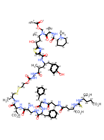 CCCC(=O)OCN(C(=O)[C@@H](NC(=O)[C@H]1CCCCN1C)C(C)CC)[C@H](C[C@@H](O)c1nc(C(=O)N[C@@H](Cc2ccc(O)cc2)C[C@H](C)C(=O)NNC(=O)OCCSSC[C@H](C)NC(=O)[C@H](CC(=O)O)NC(=O)[C@@H](N)CNC(=O)[C@H](Cc2ccccc2)NC(=O)[C@H](Cc2ccccc2)NC(=O)CCNC(=O)CC[C@H](NC(=S)N[C@@H](CCC(=O)O)C(=O)O)C(=O)O)cs1)C(C)C